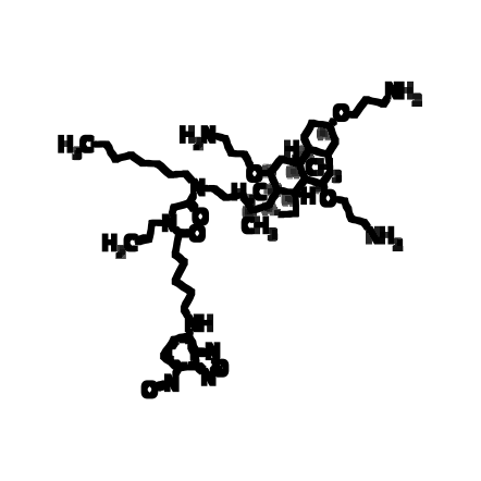 C=CCN(CC(=O)N(CCCCCCCC)CCC[C@@H](C)[C@H]1CC[C@H]2C3[C@H](OCCCN)CC4C[C@H](OCCCN)CC[C@]4(C)[C@H]3C[C@H](OCCCN)[C@]12C)C(=O)CCCCCNc1ccc(N=O)c2nonc12